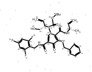 C=C[C@H](C)NC(=O)c1c(OCc2ccccc2)c(=O)c(C(=O)NCc2c(F)cc(F)cc2F)cn1N(C(=O)OC(C)(C)C)[C@@H](C=C)CO